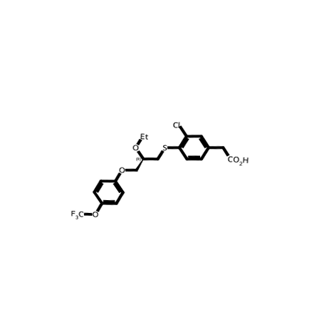 CCO[C@H](COc1ccc(OC(F)(F)F)cc1)CSc1ccc(CC(=O)O)cc1Cl